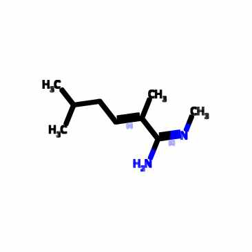 C/N=C(N)\C(C)=C\CC(C)C